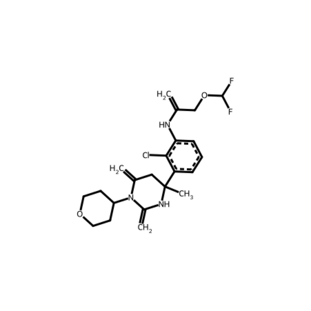 C=C(COC(F)F)Nc1cccc(C2(C)CC(=C)N(C3CCOCC3)C(=C)N2)c1Cl